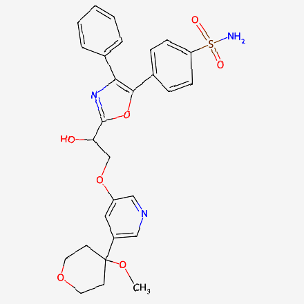 COC1(c2cncc(OCC(O)c3nc(-c4ccccc4)c(-c4ccc(S(N)(=O)=O)cc4)o3)c2)CCOCC1